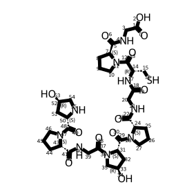 O=C(O)CNC(=O)[C@@H]1CCCN1C(=O)[C@H](CS)NC(=O)CNC(=O)[C@@H]1CCCN1C(=O)[C@@H]1C[C@@H](O)CN1C(=O)CNC(=O)[C@@H]1CCCN1C(=O)[C@@H]1C[C@@H](O)CN1